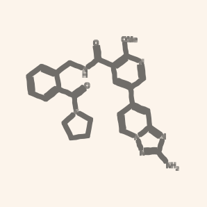 COc1ncc(-c2ccn3nc(N)nc3c2)cc1C(=O)NCc1ccccc1C(=O)N1CCCC1